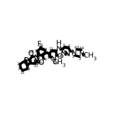 CN1CCN(c2ccc(Nc3cc(-c4cc(F)cc(-n5ncc6c7c(sc6c5=O)CCCC7)c4CO)cn(C)c3=O)nn2)CC1